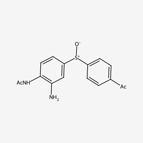 CC(=O)Nc1ccc([S+]([O-])c2ccc(C(C)=O)cc2)cc1N